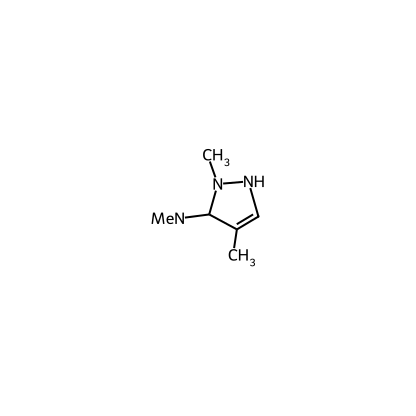 CNC1C(C)=CNN1C